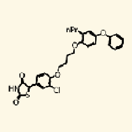 CCCc1cc(Oc2ccccc2)ccc1OCCCCOc1ccc(C2SC(=O)NC2=O)cc1Cl